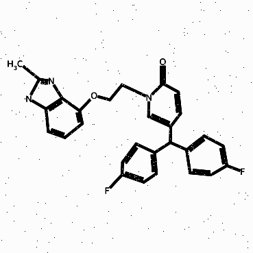 CC1=Nc2c(cccc2OCCn2cc(C(c3ccc(F)cc3)c3ccc(F)cc3)ccc2=O)[N]1